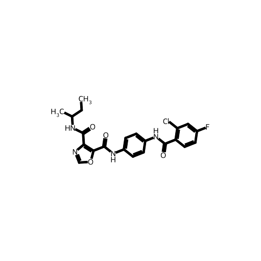 CCC(C)NC(=O)c1ncoc1C(=O)Nc1ccc(NC(=O)c2ccc(F)cc2Cl)cc1